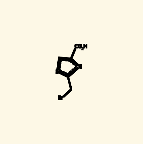 O=C(O)c1csc(CBr)n1